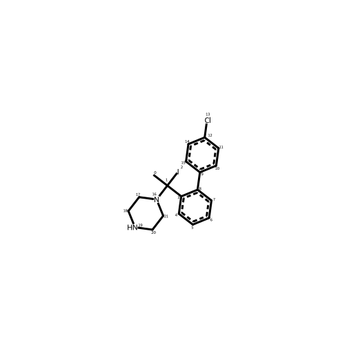 CC(I)(c1ccccc1-c1ccc(Cl)cc1)N1CCNCC1